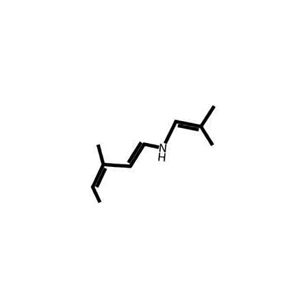 CC=C(C)C=CNC=C(C)C